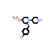 CO[C@H]1CCN(C2CCNCC2)[C@@H](Cc2ccc(Cl)cc2)C1